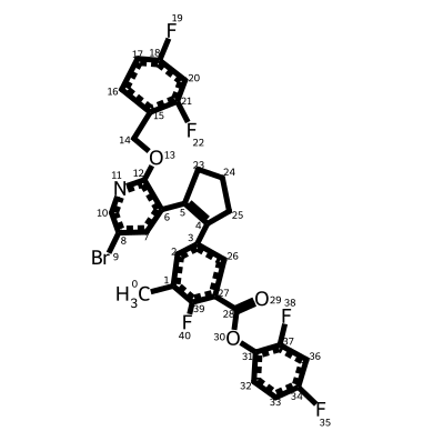 Cc1cc(C2=C(c3cc(Br)cnc3OCc3ccc(F)cc3F)CCC2)cc(C(=O)Oc2ccc(F)cc2F)c1F